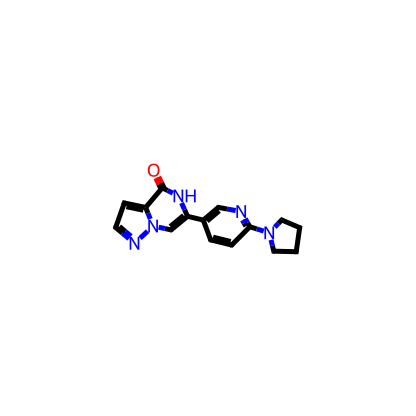 O=c1[nH]c(-c2ccc(N3CCCC3)nc2)cn2nccc12